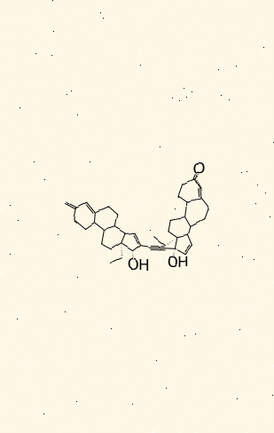 C=C1C=C2CCC3C(CC[C@@]4(CC)C3C=C(C#C[C@]3(O)C=CC5C6CCC7=CC(=O)CCC7C6CC[C@@]53CC)[C@@H]4O)C2CC1